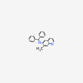 Cc1cc2ncccc2cc1N=C(c1ccccc1)c1ccccc1